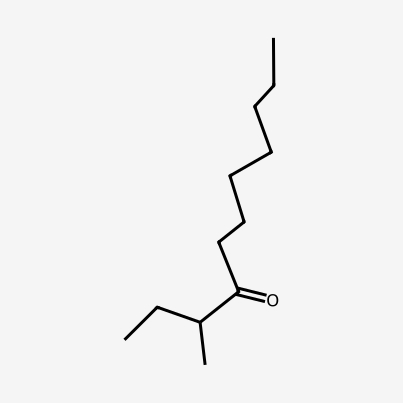 CCCCCCCC(=O)C(C)CC